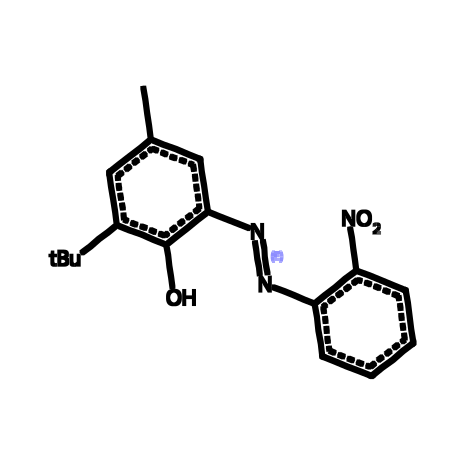 Cc1cc(/N=N/c2ccccc2[N+](=O)[O-])c(O)c(C(C)(C)C)c1